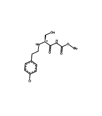 CC(C)(C)OC(=O)NC(=O)[C@H](CO)NCCc1ccc(Cl)cc1